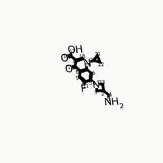 NCC1CN(c2cc3c(cc2F)c(=O)c(C(=O)O)cn3C2CC2)C1